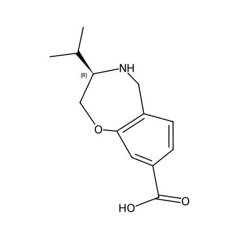 CC(C)[C@@H]1COc2cc(C(=O)O)ccc2CN1